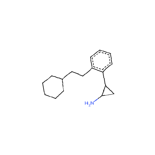 NC1CC1c1ccccc1CCC1CCCCC1